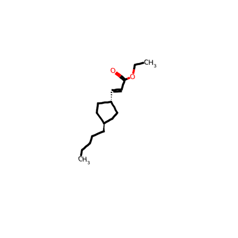 CCCCC[C@H]1CC[C@H](C=CC(=O)OCC)CC1